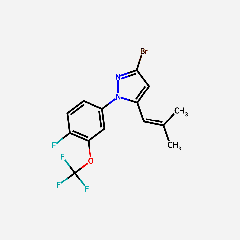 CC(C)=Cc1cc(Br)nn1-c1ccc(F)c(OC(F)(F)F)c1